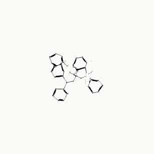 C[C@](CPc1ccccc1)(CC(c1ccccc1)c1ccccc1)C[PH](C)(c1ccccc1)c1ccccc1